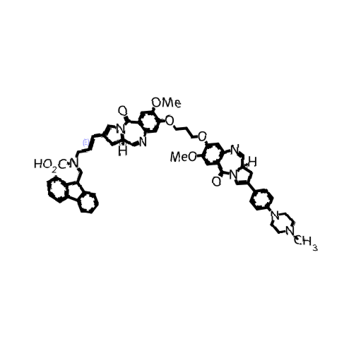 COc1cc2c(cc1OCCCOc1cc3c(cc1OC)C(=O)N1C=C(c4ccc(N5CCN(C)CC5)cc4)C[C@H]1C=N3)N=C[C@@H]1CC(/C=C/CN(CC3c4ccccc4-c4ccccc43)C(=O)O)=CN1C2=O